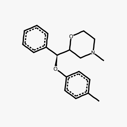 Cc1ccc(O[C@@H](c2ccccc2)C2CN(C)CCO2)cc1